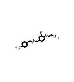 C=CCOc1ccc(C=NN=Cc2ccc(C)cc2)cc1F